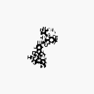 Cc1nonc1C(=O)N[C@H](C(=O)Nc1ccc2c(c1)CC(C(=O)NC1CCC(F)(F)C1)(N1CC3(CC3)CNC1=O)C2)C1CCC(F)(F)CC1